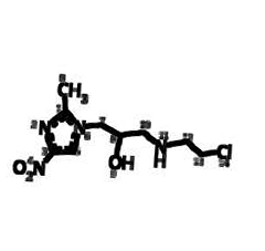 Cc1nc([N+](=O)[O-])cn1CC(O)CNCCCl